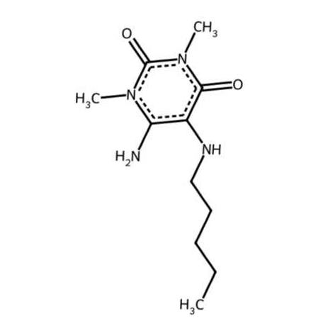 CCCCCNc1c(N)n(C)c(=O)n(C)c1=O